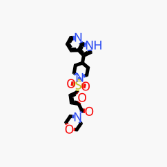 O=C(c1ccc(S(=O)(=O)N2CCC(c3c[nH]c4ncccc34)CC2)o1)N1CCOCC1